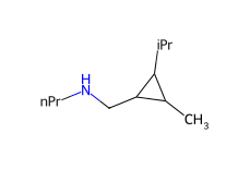 CCCNCC1C(C)C1C(C)C